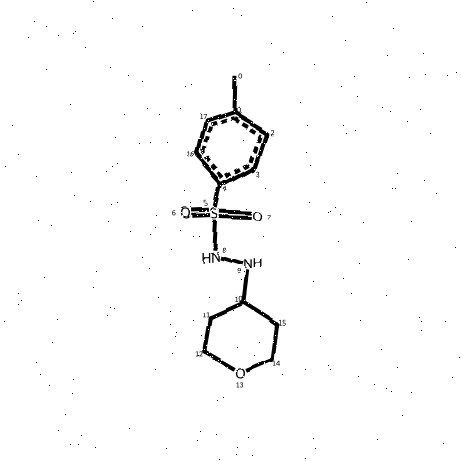 Cc1ccc(S(=O)(=O)NNC2CCOCC2)cc1